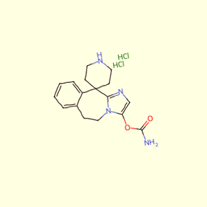 Cl.Cl.NC(=O)Oc1cnc2n1CCc1ccccc1C21CCNCC1